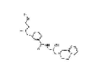 CCOCCC(C)Cc1cccc(C(=O)NCC(O)CN2CCc3ccccc3C2)c1